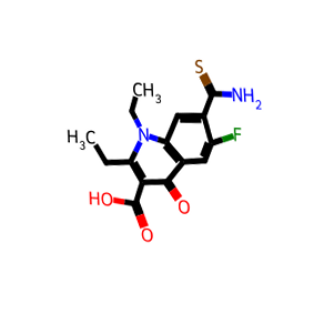 CCc1c(C(=O)O)c(=O)c2cc(F)c(C(N)=S)cc2n1CC